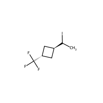 CC(I)[C@H]1C[C@H](C(F)(F)F)C1